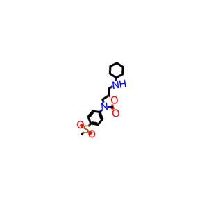 CS(=O)(=O)c1ccc(N2CC(CNC3CCCCC3)OC2=O)cc1